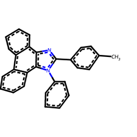 Cc1ccc(-c2nc3c4ccccc4c4ccccc4c3n2-c2ccccc2)cc1